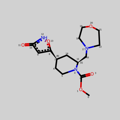 COC(=O)N1CC[C@@H](c2cc(=O)[nH]o2)C[C@H]1CN1CCOCC1